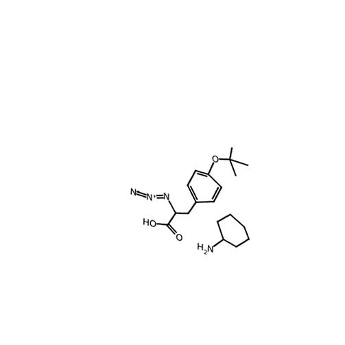 CC(C)(C)Oc1ccc(CC(N=[N+]=[N-])C(=O)O)cc1.NC1CCCCC1